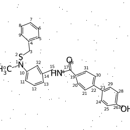 CN(SCc1ccccc1)c1cccc(CNC(=O)c2ccc(-c3ccc(O)cc3)cc2)c1